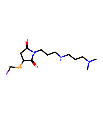 CN(C)CCCNCCCN1C(=O)CC(PBI)C1=O